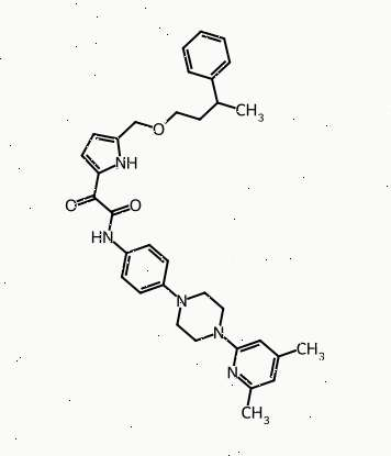 Cc1cc(C)nc(N2CCN(c3ccc(NC(=O)C(=O)c4ccc(COCCC(C)c5ccccc5)[nH]4)cc3)CC2)c1